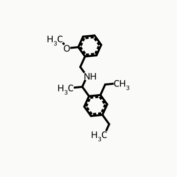 CCc1ccc(C(C)NCc2ccccc2OC)c(CC)c1